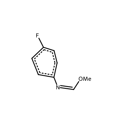 CO/C=N\c1ccc(F)cc1